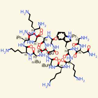 CC[C@H](C)[C@H](NC(=O)[C@H](CCCCN)NC(=O)[C@H](CCCCN)NC(=O)[C@H](Cc1c[nH]c2ccccc12)NC(=O)[C@H](CC(N)=O)NC(=O)[C@@H](N)C(C)C)C(=O)N[C@@H](CC(C)C)C(=O)NCC(=O)N[C@@H](CCCCN)C(=O)N[C@H](C(=O)N[C@H](C(=O)N[C@@H](CCCCN)C(=O)N[C@H](C(=O)N[C@@H](C)C(=O)N[C@@H](CCCCN)C(N)=O)C(C)C)[C@@H](C)CC)[C@@H](C)CC